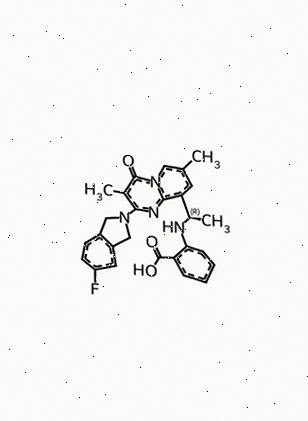 Cc1cc([C@@H](C)Nc2ccccc2C(=O)O)c2nc(N3Cc4ccc(F)cc4C3)c(C)c(=O)n2c1